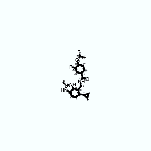 CN1Nc2ccc(C3CC3)c(CNC(=O)c3ccc(OC(F)F)c(F)c3)c2N1